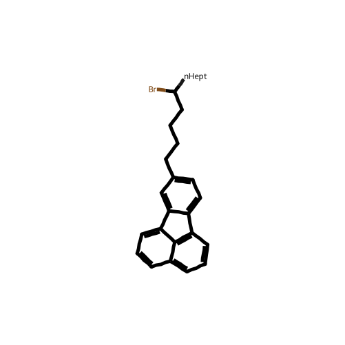 CCCCCCCC(Br)CCCCc1ccc2c(c1)-c1cccc3cccc-2c13